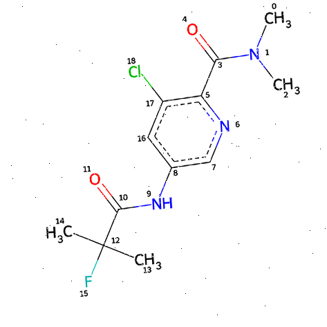 CN(C)C(=O)c1ncc(NC(=O)C(C)(C)F)cc1Cl